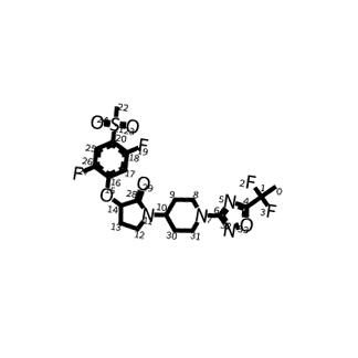 CC(F)(F)c1nc(N2CCC(N3CCC(Oc4cc(F)c(S(C)(=O)=O)cc4F)C3=O)CC2)no1